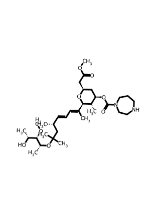 COC(=O)C[C@H]1C[C@@H](OC(=O)N2CCCNCC2)[C@H](C)[C@@H](/C(C)=C/C=C/[C@@H](C)CC(C)(C)O[C@H](C)[C@@H](OC)[C@@H](C)O)O1